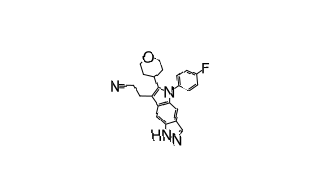 N#CCCc1c(C2CCOCC2)n(-c2ccc(F)cc2)c2cc3cn[nH]c3cc12